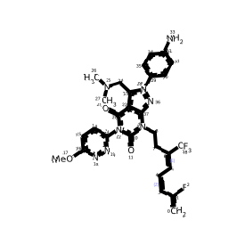 C=C(F)/C=C\C=C(/CCn1c(=O)n(-c2ccc(OC)nn2)c(=O)c2c(CN(C)C)n(-c3ccc(N)cc3)nc21)C(F)(F)F